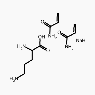 C=CC(N)=O.C=CC(N)=O.NCCCC(N)C(=O)O.[NaH]